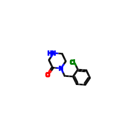 O=C1CNCCN1Cc1ccccc1Cl